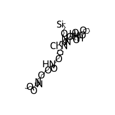 CCOC(=O)c1cnn(CCOCCOCC(=O)NCCOc2ccc(-c3nc4nc(O[C@@H]5CO[C@H]6[C@@H]5OC[C@H]6OC5CCCCO5)n(COCC[Si](C)(C)C)c4cc3Cl)cc2)c1